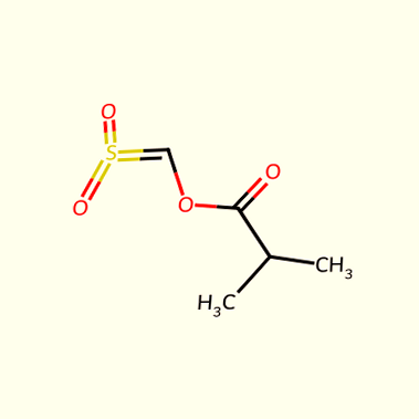 CC(C)C(=O)OC=S(=O)=O